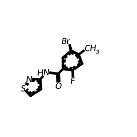 Cc1cc(F)c(C(=O)Nc2ccsn2)cc1Br